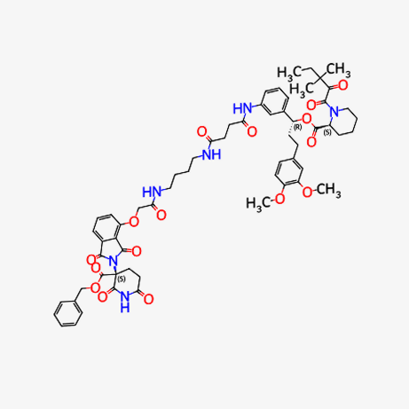 CCC(C)(C)C(=O)C(=O)N1CCCC[C@H]1C(=O)O[C@H](CCc1ccc(OC)c(OC)c1)c1cccc(NC(=O)CCC(=O)NCCCCNC(=O)COc2cccc3c2C(=O)N([C@@]2(C(=O)OCc4ccccc4)CCC(=O)NC2=O)C3=O)c1